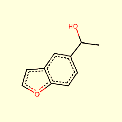 CC(O)c1ccc2occc2c1